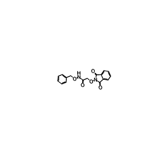 O=C(CON1C(=O)c2ccccc2C1=O)NOCc1ccccc1